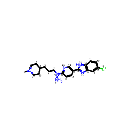 CN1CCC(CCCN(N)c2ccc(-c3nc4cc(Cl)ccc4[nH]3)cn2)CC1